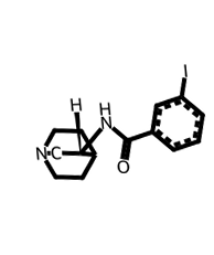 O=C(N[C@H]1CN2CCC1CC2)c1cccc(I)c1